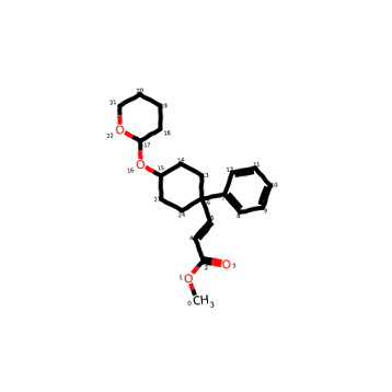 COC(=O)C=CC1(c2ccccc2)CCC(OC2CCCCO2)CC1